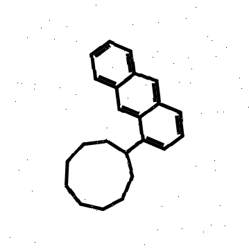 [CH]1CCCCCCCC1c1cccc2cc3ccccc3cc12